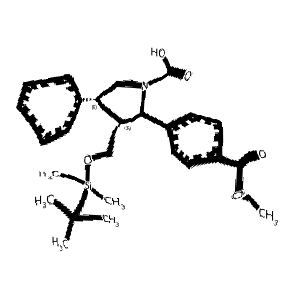 COC(=O)c1ccc(C2[C@@H](CO[Si](C)(C)C(C)(C)C)[C@H](c3ccccc3)CN2C(=O)O)cc1